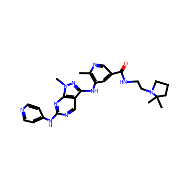 Cc1ncc(C(=O)NCCN2CCCC2(C)C)cc1Nc1nn(C)c2nc(Nc3ccncc3)ncc12